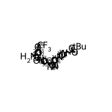 CC(C)(C)OC(=O)CCN1CCN(c2ccc3c(C4CCN(C(=O)c5ccc(OC(F)(F)F)cc5N)CC4)ncnc3c2)CC1